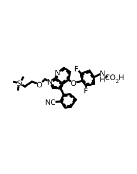 C[Si](C)(C)CCOCn1cc(-c2ccccc2C#N)c2c(Oc3c(F)cc(NC(=O)O)cc3F)ccnc21